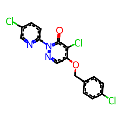 O=c1c(Cl)c(OCc2ccc(Cl)cc2)cnn1-c1ccc(Cl)cn1